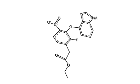 CCOC(=O)Cc1ccc([N+](=O)[O-])c(Oc2cccc3[nH]ccc23)c1F